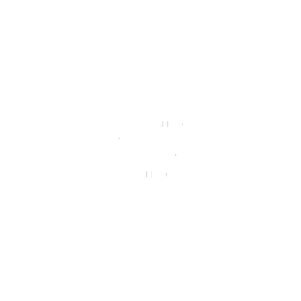 CCCCCCCC(CCCCCCC)(C(C)=O)C(C)=O